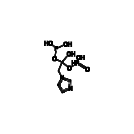 O=[PH](O)OC(O)(Cn1ccnc1)OP(O)O